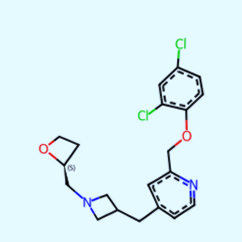 Clc1ccc(OCc2cc(CC3CN(C[C@@H]4CCO4)C3)ccn2)c(Cl)c1